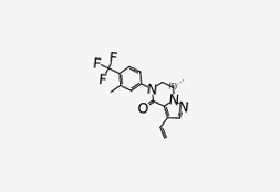 C=Cc1cnn2c1C(=O)N(c1ccc(C(F)(F)F)c(C)c1)C[C@@H]2C